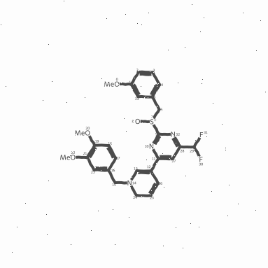 COc1cccc(C[S+]([O-])c2nc(C3=CN(Cc4ccc(OC)c(OC)c4)CC=C3)cc(C(F)F)n2)c1